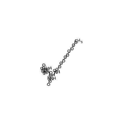 COCCOCCOCCOCCOCCOCCOCCOCCOCCOCC(=O)NCCCC[C@H](NC(=O)OCc1ccccc1)C(=O)NCC(=O)NCC(=O)N[C@@H](Cc1ccccc1)C(=O)ON1C(=O)CCC1=O